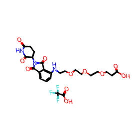 O=C(O)C(F)(F)F.O=C(O)CCOCCOCCOCCNc1cccc2c1C(=O)N(C1CCC(=O)NC1=O)C2=O